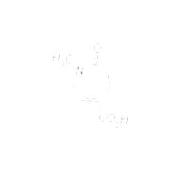 CN1C=C=C(C(=O)O)CCC1=O